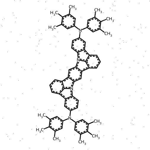 Cc1cc(N(c2cc(C)c(C)c(C)c2)c2ccc3c(c2)c2cccc4c5cc6c(cc5n3c24)c2cccc3c4cc(N(c5cc(C)c(C)c(C)c5)c5cc(C)c(C)c(C)c5)ccc4n6c32)cc(C)c1C